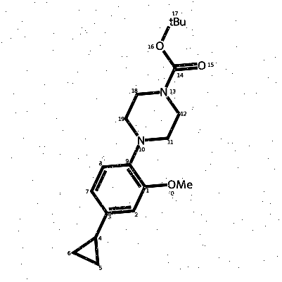 COc1cc(C2CC2)ccc1N1CCN(C(=O)OC(C)(C)C)CC1